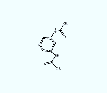 CC(=O)Nc1cncc(NC(C)=O)c1